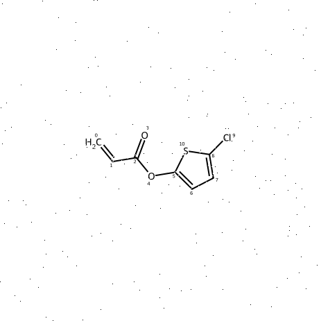 C=CC(=O)Oc1ccc(Cl)s1